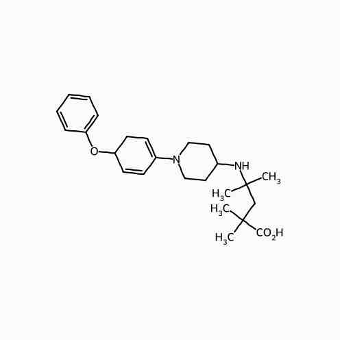 CC(C)(CC(C)(C)C(=O)O)NC1CCN(C2=CCC(Oc3ccccc3)C=C2)CC1